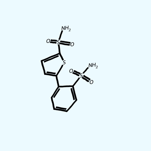 NS(=O)(=O)c1ccc(-c2ccccc2S(N)(=O)=O)s1